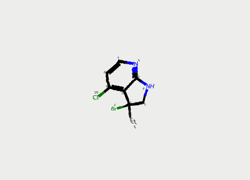 CCC1(Br)CNc2nccc(Cl)c21